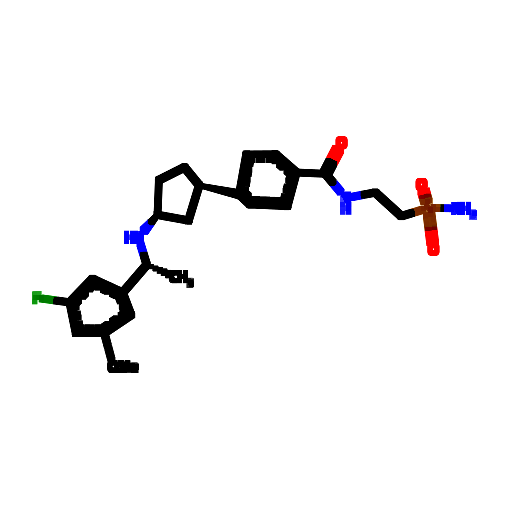 COc1cc(F)cc([C@@H](C)N[C@H]2CC[C@@H](c3ccc(C(=O)NCCS(N)(=O)=O)cc3)C2)c1